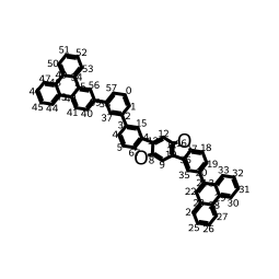 c1cc(-c2ccc3oc4cc5c(cc4c3c2)oc2ccc(-c3cc4ccccc4c4ccccc34)cc25)cc(-c2ccc3c4ccccc4c4ccccc4c3c2)c1